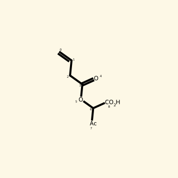 C=CCC(=O)OC(C(C)=O)C(=O)O